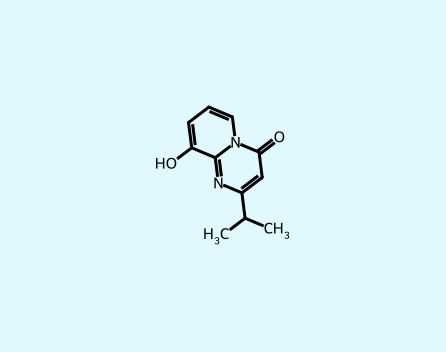 CC(C)c1cc(=O)n2cccc(O)c2n1